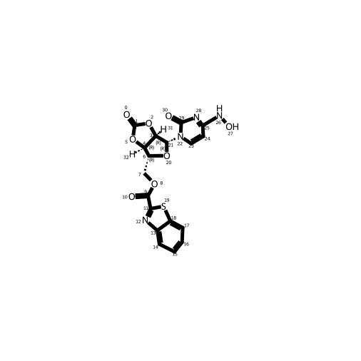 O=C1O[C@@H]2[C@H](O1)[C@@H](COC(=O)c1nc3ccccc3s1)O[C@H]2n1ccc(NO)nc1=O